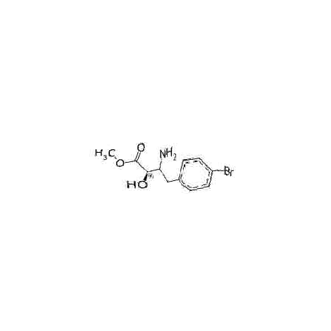 COC(=O)[C@H](O)C(N)Cc1ccc(Br)cc1